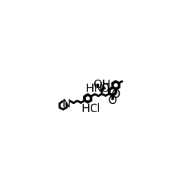 Cc1ccc2cc(CC(CCc3ccc(CCCCN4CCCCC4)cc3)C(=O)NO)c(=O)oc2c1.Cl